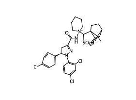 CC1(C)C2CCC1(C([N+]1(NC(=O)C3=NN(c4ccc(Cl)cc4Cl)[C@@H](c4ccc(Cl)cc4)C3)CCCCC1)S(=O)(=O)O)C(=O)C2